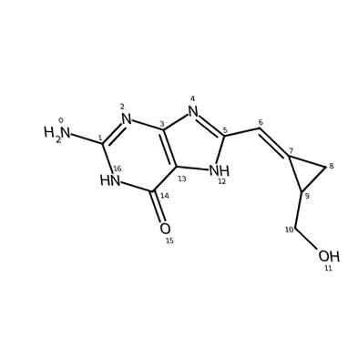 Nc1nc2nc(C=C3CC3CO)[nH]c2c(=O)[nH]1